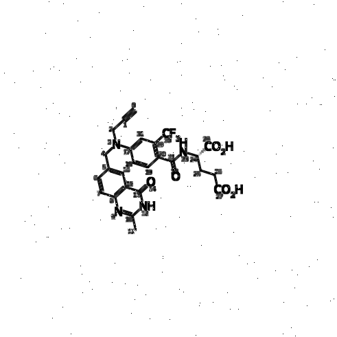 C#CCN(Cc1ccc2nc(C)[nH]c(=O)c2c1)c1ccc(C(=O)N[C@@H](CCC(=O)O)C(=O)O)c(C(F)(F)F)c1